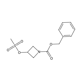 CS(=O)(=O)OC1CN(C(=O)OCc2ccccc2)C1